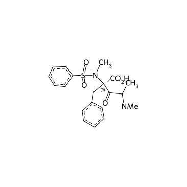 CNC(C)C(=O)[C@](Cc1ccccc1)(C(=O)O)N(C)S(=O)(=O)c1ccccc1